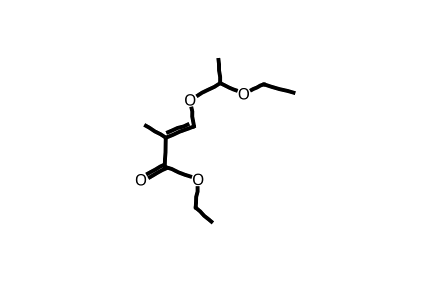 CCOC(=O)C(C)=COC(C)OCC